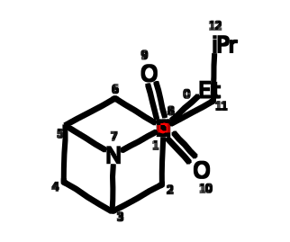 CCN1CC2CC(C1)N2S(=O)(=O)CC(C)C